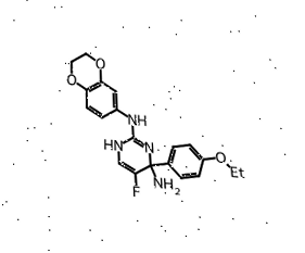 CCOc1ccc(C2(N)N=C(Nc3ccc4c(c3)OCCO4)NC=C2F)cc1